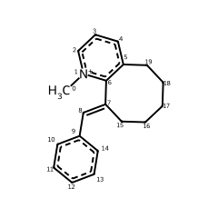 C[n+]1cccc2c1C(=Cc1ccccc1)CCCCC2